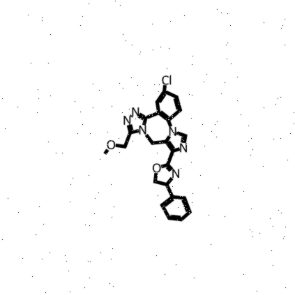 COCc1nnc2n1Cc1c(C3=NC(c4ccccc4)CO3)ncn1-c1ccc(Cl)cc1-2